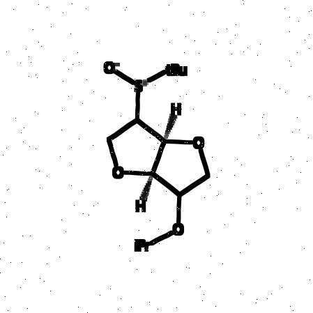 CC(C)OC1CO[C@@H]2C([S+]([O-])C(C)(C)C)CO[C@H]12